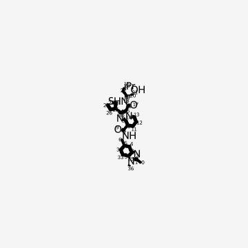 Cc1nc2cc(CNC(=O)c3cccn4c(C(=O)N[C@H](CO)CC(C)C)c(-c5ccsc5)nc34)ccc2n1C